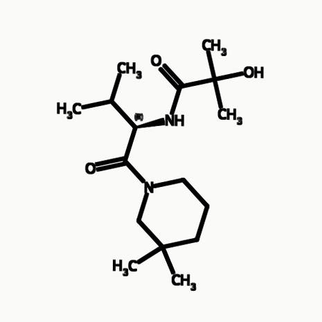 CC(C)[C@@H](NC(=O)C(C)(C)O)C(=O)N1CCCC(C)(C)C1